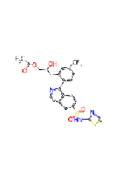 O=C(OCC(O)Cc1cc(C(F)(F)F)ccc1-c1nccc2cc(S(=O)(=O)Nc3nccs3)ccc12)C(F)(F)F